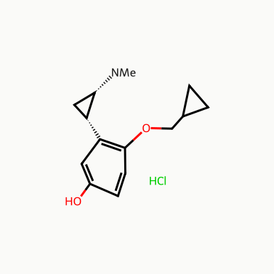 CN[C@H]1C[C@H]1c1cc(O)ccc1OCC1CC1.Cl